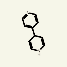 C1=CC(c2ccncc2)C=CN1